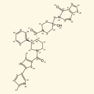 Cc1ccc(-c2nc(C)c(C(=O)N3CC[C@@H](C(=O)N4CCC(O)(Cn5cnc6sccc6c5=O)CC4)[C@H](c4ccccc4)C3)s2)cn1